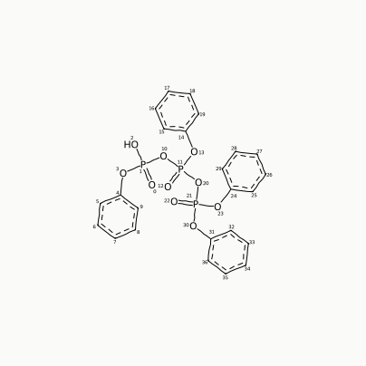 O=P(O)(Oc1ccccc1)OP(=O)(Oc1ccccc1)OP(=O)(Oc1ccccc1)Oc1ccccc1